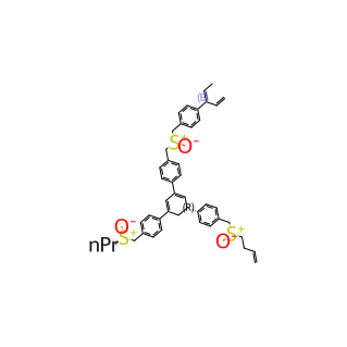 C=CCC[S+]([O-])Cc1ccc([C@H]2C=C(c3ccc(C[S+]([O-])Cc4ccc(/C(C=C)=C/C)cc4)cc3)C=C(c3ccc(C[S+]([O-])CCC)cc3)C2)cc1